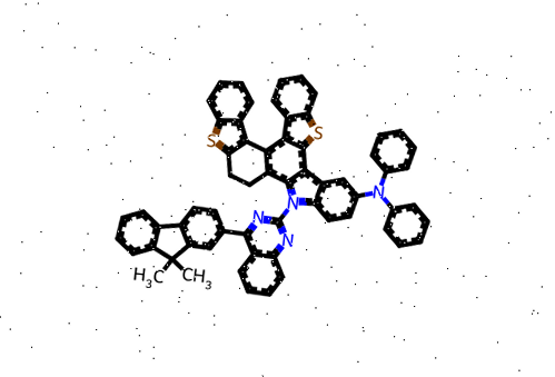 CC1(C)c2ccccc2-c2ccc(-c3nc(-n4c5ccc(N(c6ccccc6)c6ccccc6)cc5c5c6sc7ccccc7c6c6c(c54)CCc4sc5ccccc5c4-6)nc4ccccc34)cc21